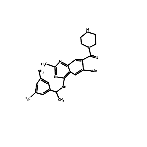 CNc1cc2c(NC(C)c3cc(N)cc(C(F)(F)F)c3)nc(C)nc2cc1C(=O)N1CCNCC1